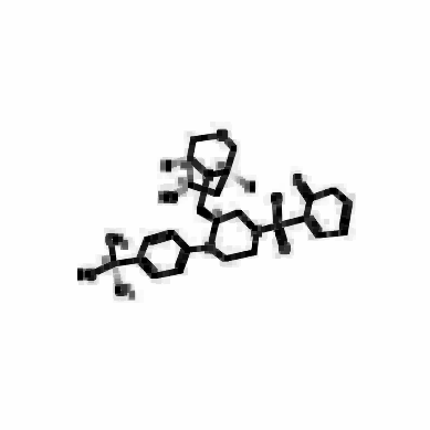 C[C@](O)(c1ccc(N2CCN(S(=O)(=O)C3=CC=CCC3=S)C[C@@H]2CN2[C@H]3COC[C@@H]2[C@@H](O)C3)cc1)C(F)(F)F